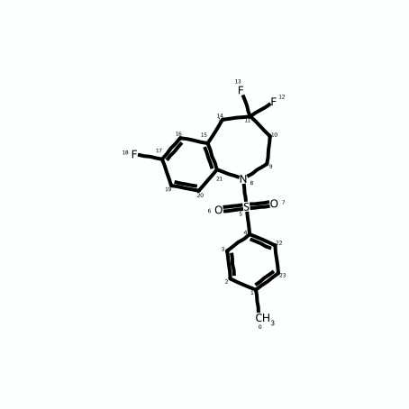 Cc1ccc(S(=O)(=O)N2CCC(F)(F)[C]c3cc(F)ccc32)cc1